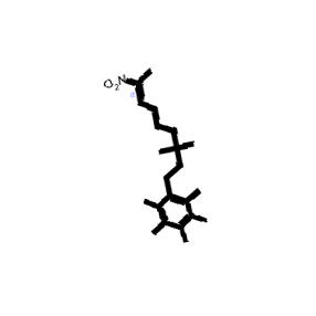 C/C(=C\CCCC(C)(C)CCc1c(C)c(C)c(C)c(C)c1C)[N+](=O)[O-]